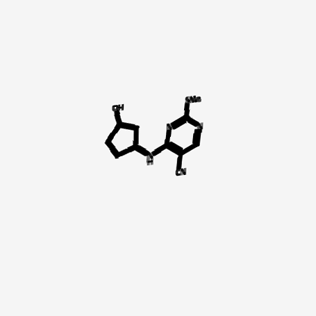 CSc1ncc(C#N)c(NC2CCC(O)C2)n1